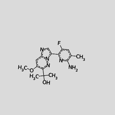 COc1cc2ncc(-c3nc(N)c(C)cc3F)n2nc1C(C)(C)O